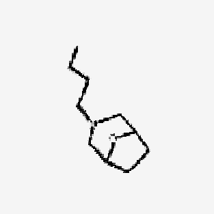 CCCCN1CC2CCC(C1)O2